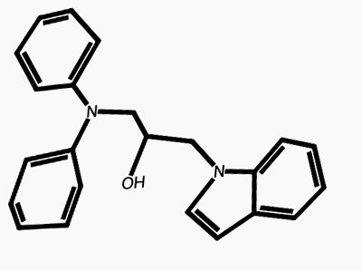 OC(CN(c1ccccc1)c1ccccc1)Cn1ccc2ccccc21